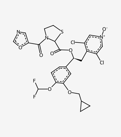 O=C(O[C@@H](Cc1c(Cl)c[n+]([O-])cc1Cl)c1ccc(OC(F)F)c(OCC2CC2)c1)C1SCCN1C(=O)c1cnco1